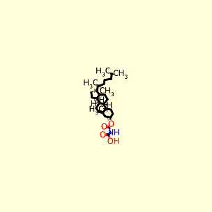 CC(C)CCC[C@@H](C)[C@H]1CC[C@H]2[C@@H]3CC=C4C[C@@H](OC(=O)NC(=O)O)CC[C@]4(C)[C@H]3CC[C@]12C